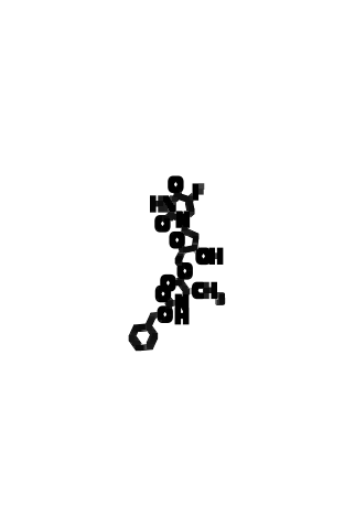 C[C@H](NC(=O)OCc1ccccc1)C(=O)OC[C@H]1O[C@@H](n2cc(F)c(=O)[nH]c2=O)C[C@@H]1O